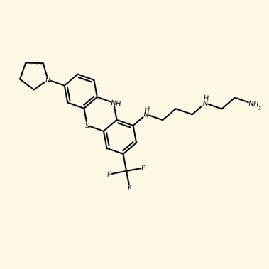 NCCNCCCNc1cc(C(F)(F)F)cc2c1Nc1ccc(N3CCCC3)cc1S2